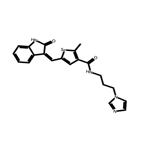 Cc1[se]c(C=C2C(=O)Nc3ccccc32)cc1C(=O)NCCCn1ccnc1